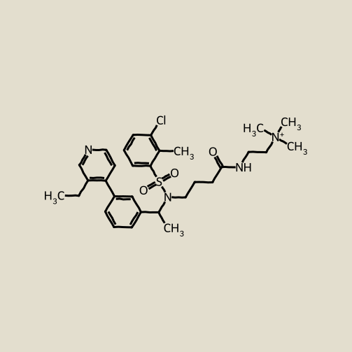 CCc1cnccc1-c1cccc(C(C)N(CCCC(=O)NCC[N+](C)(C)C)S(=O)(=O)c2cccc(Cl)c2C)c1